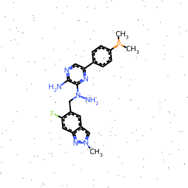 Cn1cc2cc(CN(N)c3nc(-c4ccc(P(C)C)cc4)cnc3N)c(F)cc2n1